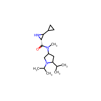 CC(C)C1CC(N(C)C(=O)[C@@H]2NC2C2CC2)CN1C(C)C